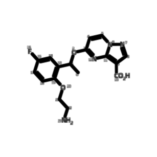 CC(Oc1ccn2ncc(C(=O)O)c2n1)c1cc(F)ccc1OCCN